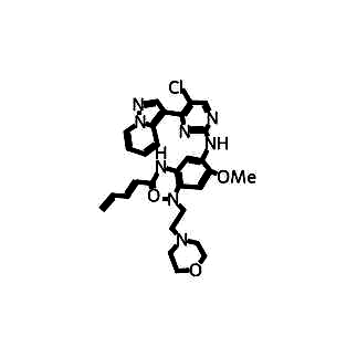 C=C/C=C/C(=O)Nc1cc(Nc2ncc(Cl)c(-c3cnn4ccccc34)n2)c(OC)cc1N(C)CCN1CCOCC1